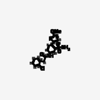 COc1nc(-c2ccc(NC(=O)Cc3ccccc3Cl)cc2S(N)(=O)=O)cs1